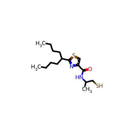 CCCCC(CCCC)c1nc(C(=O)NC(C)CS)cs1